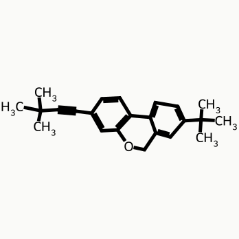 CC(C)(C)C#Cc1ccc2c(c1)OCc1cc(C(C)(C)C)ccc1-2